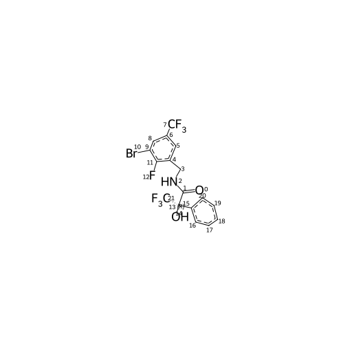 O=C(NCc1cc(C(F)(F)F)cc(Br)c1F)[C@](O)(c1ccccc1)C(F)(F)F